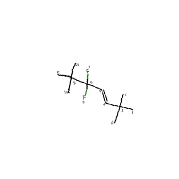 CC(C)(C)/C=C/C(F)(F)C(C)(C)C